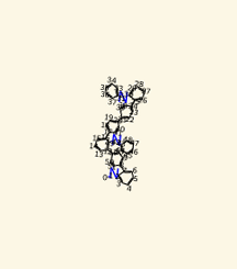 Cn1c2ccccc2c2ccc(-c3cccc4c5ccc(-c6ccc7c8ccccc8n(-c8ccccc8)c7c6)cc5n(-c5ccccc5)c34)cc21